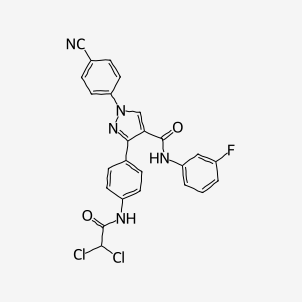 N#Cc1ccc(-n2cc(C(=O)Nc3cccc(F)c3)c(-c3ccc(NC(=O)C(Cl)Cl)cc3)n2)cc1